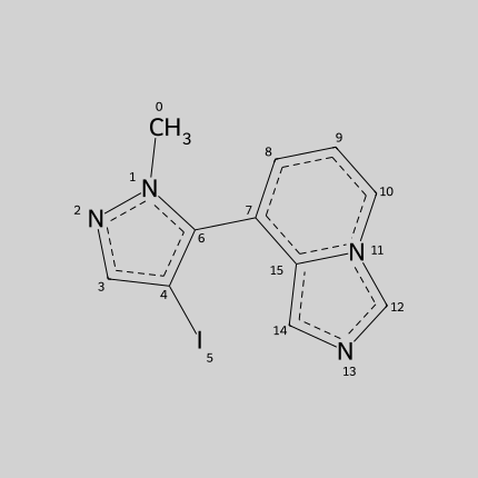 Cn1ncc(I)c1-c1cccn2cncc12